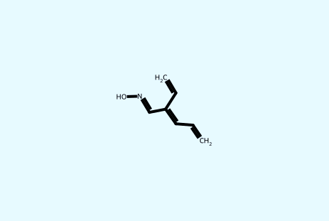 C=C/C=C(C=C)/C=N/O